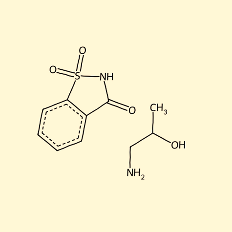 CC(O)CN.O=C1NS(=O)(=O)c2ccccc21